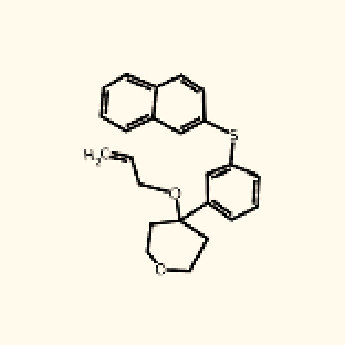 C=CCOC1(c2cccc(Sc3ccc4ccccc4c3)c2)CCOCC1